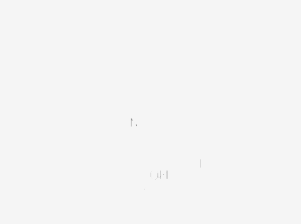 O[C@]12CCN(c3ccccc3)C[C@H]1C2